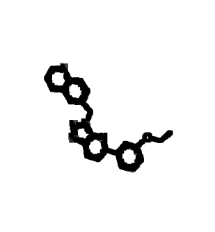 CCOc1cccc(-c2ccc3nnn(Cc4ccc5ncccc5c4)c3n2)c1